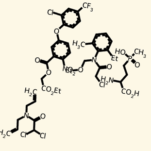 C=CCN(CC=C)C(=O)C(Cl)Cl.CCOC(=O)COC(=O)c1cc(Oc2ccc(C(F)(F)F)cc2Cl)ccc1[N+](=O)[O-].CCOCN(C(=O)CCl)c1c(C)cccc1CC.CP(=O)(O)CCC(N)C(=O)O